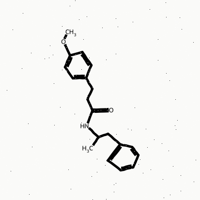 COc1ccc(CCC(=O)NC(C)Cc2ccccc2)cc1